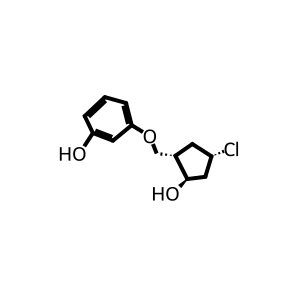 Oc1cccc(OC[C@@H]2C[C@H](Cl)C[C@H]2O)c1